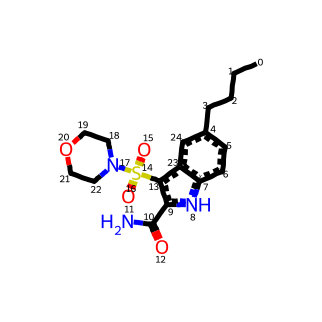 CCCCc1ccc2[nH]c(C(N)=O)c(S(=O)(=O)N3CCOCC3)c2c1